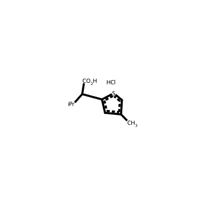 Cc1csc(C(C(=O)O)C(C)C)c1.Cl